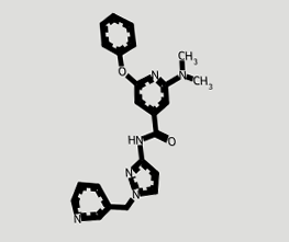 CN(C)c1cc(C(=O)Nc2ccn(Cc3cccnc3)n2)cc(Oc2ccccc2)n1